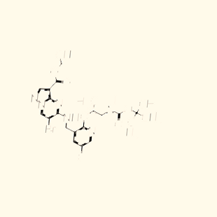 CCOC(=O)c1cnn2cc(Br)c(NCc3cc(Cl)cnc3O[C@@H](C)CNC(=O)OC(C)(C)C)nc12